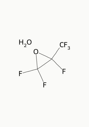 FC(F)(F)C1(F)OC1(F)F.O